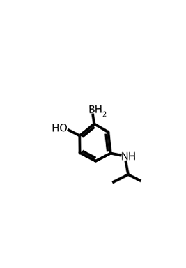 Bc1cc(NC(C)C)ccc1O